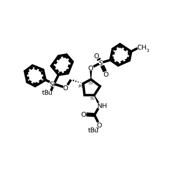 Cc1ccc(S(=O)(=O)O[C@H]2C[C@@H](NC(=O)OC(C)(C)C)C[C@@H]2CO[Si](c2ccccc2)(c2ccccc2)C(C)(C)C)cc1